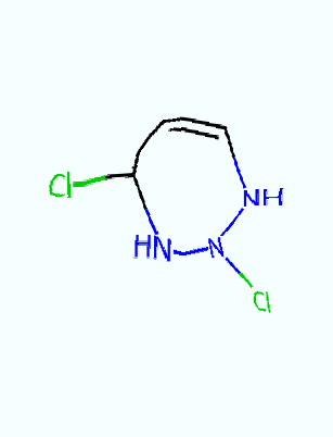 Cl[C]1C=CNN(Cl)N1